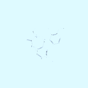 CCc1c(OC)cccc1[C@H]1O[C@H](CC(=O)O)C(=S)Nc2ccc(Cl)cc21